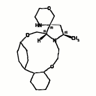 C[C@@H]1C[C@]2(COCCN2)[C@H]2COC3CCC(CC3)C3CCCCC3OCCN12